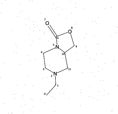 CCN1CCN2C(=O)OCC2C1